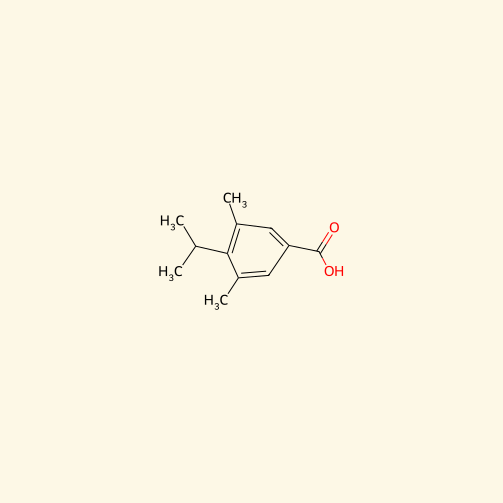 Cc1cc(C(=O)O)cc(C)c1C(C)C